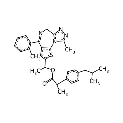 Cc1ccccc1C1=NCc2nnc(C)n2-c2sc(C(C)OC(=O)C(C)c3ccc(CC(C)C)cc3)cc21